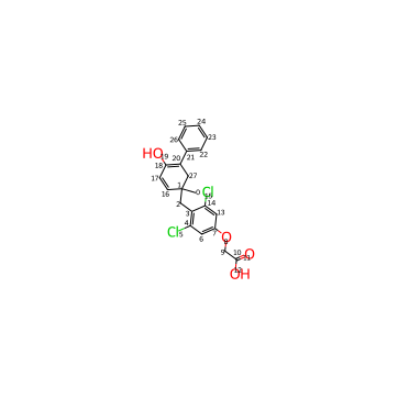 CC1(Cc2c(Cl)cc(OCC(=O)O)cc2Cl)C=CC(O)=C(c2ccccc2)C1